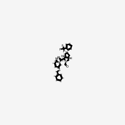 O=CN1C[C@@H]2C[C@@H](c3ccccc3C(F)(F)F)C[C@@H]2C1c1nnc2ccc(SCc3ccccc3)cn12